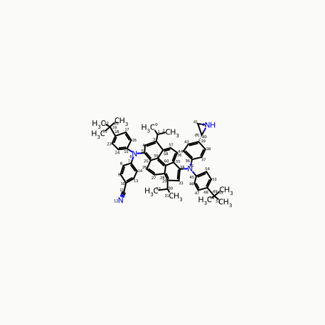 CC(C)c1cc(N(c2ccc(C#N)cc2)c2ccc(C(C)(C)C)cc2)c2ccc3c(C(C)C)cc(N(c4ccc([C@@H]5CN5)cc4)c4ccc(C(C)(C)C)cc4)c4ccc1c2c34